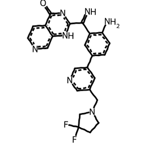 N=C(c1nc(=O)c2ccncc2[nH]1)c1cc(-c2cncc(CN3CCC(F)(F)C3)c2)ccc1N